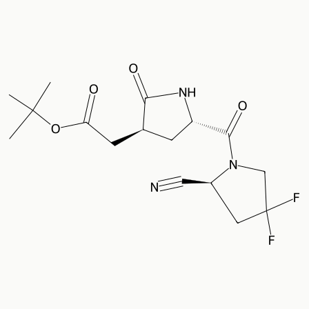 CC(C)(C)OC(=O)C[C@@H]1C[C@@H](C(=O)N2CC(F)(F)C[C@H]2C#N)NC1=O